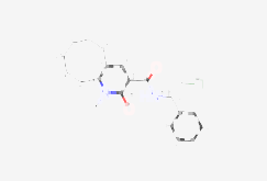 Cn1c2c(cc(C(=O)N[C@H](CCl)c3ccccc3)c1=O)CCCCCC2